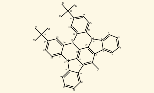 Cc1c2c3ccccc3n3c2c2c4c1c1ccccc1n4-c1ccc(C(C)(C)C)cc1B2c1cc(C(C)(C)C)ccc1-3